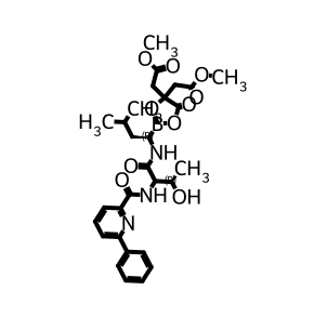 COC(=O)CC1(CC(=O)OC)OB([C@H](CC(C)C)NC(=O)C(NC(=O)c2cccc(-c3ccccc3)n2)[C@@H](C)O)OC1=O